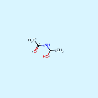 [CH2]C(O)NC(C)=O